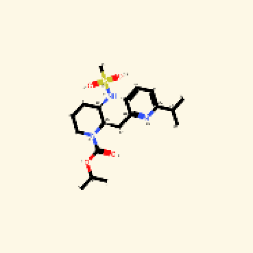 CC(C)OC(=O)N1CCC[C@@H](NS(C)(=O)=O)[C@H]1Cc1cccc(C(C)C)n1